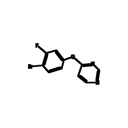 Fc1cc(Oc2ccncn2)ccc1Br